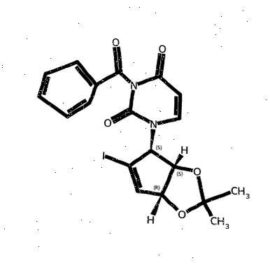 CC1(C)O[C@H]2[C@H](n3ccc(=O)n(C(=O)c4ccccc4)c3=O)C(I)=C[C@H]2O1